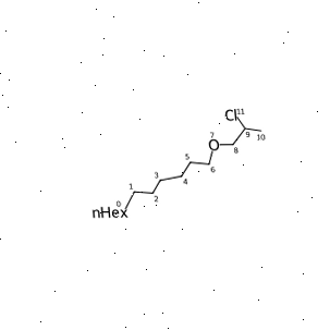 CCCCCCCCCCCCOCC(C)Cl